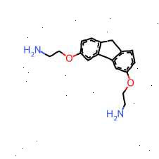 NCCOc1ccc2c(c1)-c1cc(OCCN)ccc1C2